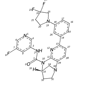 O=C(Nc1cncc(F)c1)N1c2nc(-c3cccc(N4CCC(F)(F)C4)c3)ccc2N2CC[C@H]1C2